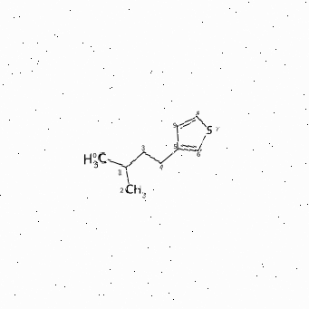 CC(C)CCc1[c]scc1